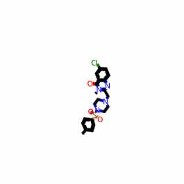 Cc1ccc(S(=O)(=O)N2CCN(Cc3nc4ccc(Cl)cc4c(=O)n3C)CC2)cc1